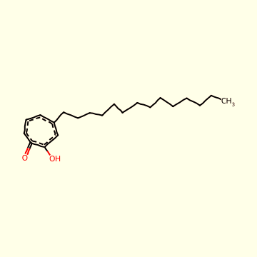 CCCCCCCCCCCCCCc1cccc(=O)c(O)c1